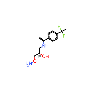 C=C(NC[C@@H](O)CON)c1ccc(C(C)(F)F)cc1